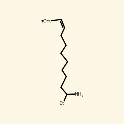 CCCCCCCC/C=C\CCCCCCCC(N)CC